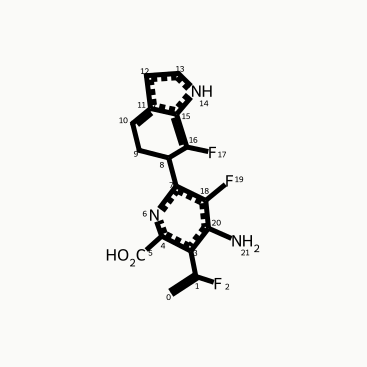 C=C(F)c1c(C(=O)O)nc(C2CC=c3cc[nH]c3=C2F)c(F)c1N